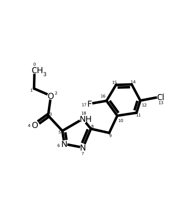 CCOC(=O)c1nnc(Cc2cc(Cl)ccc2F)[nH]1